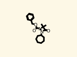 CC1(C)C(=O)N(C2CCCCCC2)N1C(=O)OCc1ccccc1